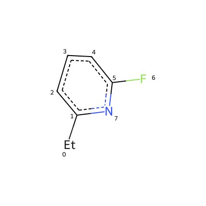 CCc1cccc(F)n1